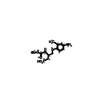 Cc1cc(N)ccc1OC[C@@H](CC(=O)O)NC(=O)OC(C)(C)C